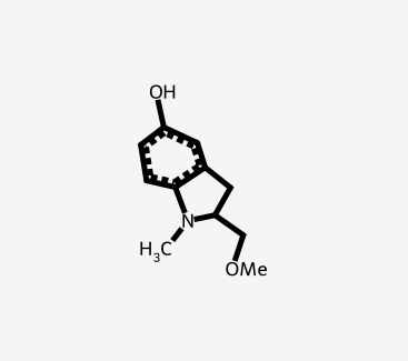 COCC1Cc2cc(O)ccc2N1C